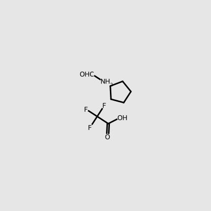 C1CCCC1.NC=O.O=C(O)C(F)(F)F